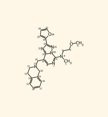 COCCN(C)c1ncc(CN2CCc3ccccc3C2)c2nc(-c3ccco3)nn12